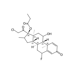 CCC(=O)O[C@]1(C(=O)CCl)C(C)C[C@H]2[C@@H]3CC(F)C4=CC(=O)C=C[C@]4(C)[C@H]3C(O)C[C@@]21C